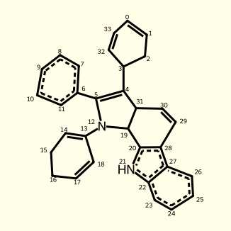 C1=CCC(C2=C(c3ccccc3)N(C3=CCCC=C3)C3c4[nH]c5ccccc5c4C=CC23)C=C1